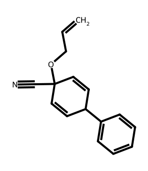 C=CCOC1(C#N)C=CC(c2ccccc2)C=C1